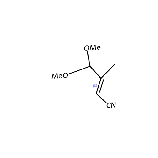 COC(OC)/C(C)=C/C#N